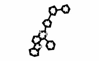 c1ccc(-c2cccc(-c3ccc(-c4nc(-c5ccccc5)c5c(ccc6c7ccccc7sc65)n4)cc3)c2)cc1